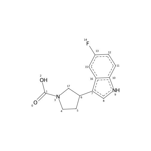 O=C(O)N1CCC(c2c[nH]c3ccc(F)cc23)C1